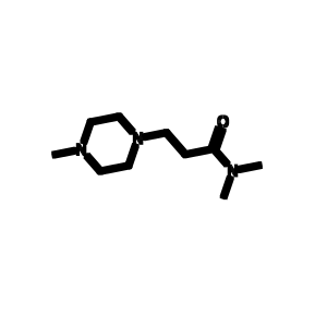 CN1CCN(CCC(=O)N(C)C)CC1